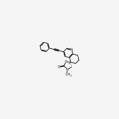 CN1C[C@]2(CCCc3ncc(C#Cc4ccccc4)cc32)OC1=O